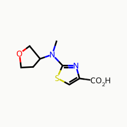 CN(c1nc(C(=O)O)cs1)C1CCOC1